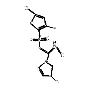 CCN/C(=N\S(=O)(=O)c1sc(Cl)cc1Br)N1CC(CC)C=N1